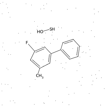 Cc1cc(F)cc(-c2cc[c]cc2)c1.OS